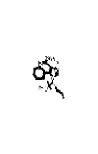 CCCC[C@@H](n1cnc2c(N)nc3ccccc3c21)C(C)(C)O